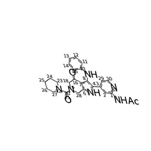 CC(=O)Nc1cc(-c2[nH]c3c(c2Nc2ccccc2)C(=O)CN(C(=O)N2CCCCC2)C3)ccn1